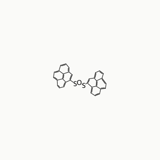 c1cc2ccc3cccc4c(SOSc5cc6cccc7ccc8cccc5c8c76)cc(c1)c2c34